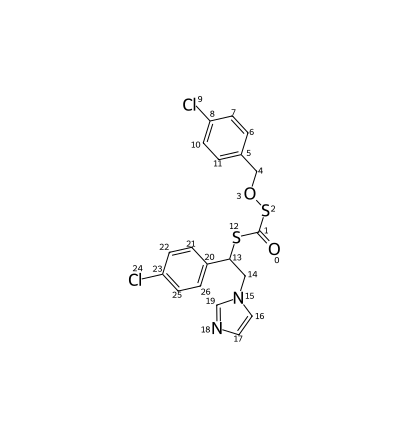 O=C(SOCc1ccc(Cl)cc1)SC(Cn1ccnc1)c1ccc(Cl)cc1